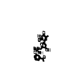 CC(=O)c1cccc(OP(=O)(O)OC[C@H]2O[C@@H](n3cc(C)c(=O)[nH]c3=O)C[C@@H]2O)c1